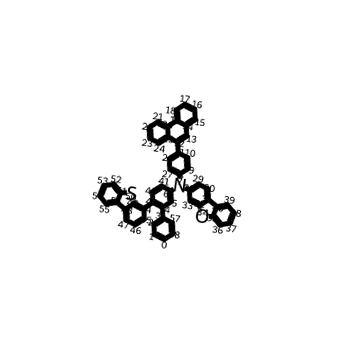 c1ccc(-c2cc(N(c3ccc(-c4cc5ccccc5c5ccccc45)cc3)c3ccc4c(c3)oc3ccccc34)ccc2-c2cccc3c2sc2ccccc23)cc1